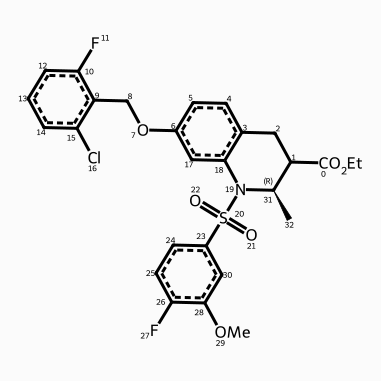 CCOC(=O)C1Cc2ccc(OCc3c(F)cccc3Cl)cc2N(S(=O)(=O)c2ccc(F)c(OC)c2)[C@@H]1C